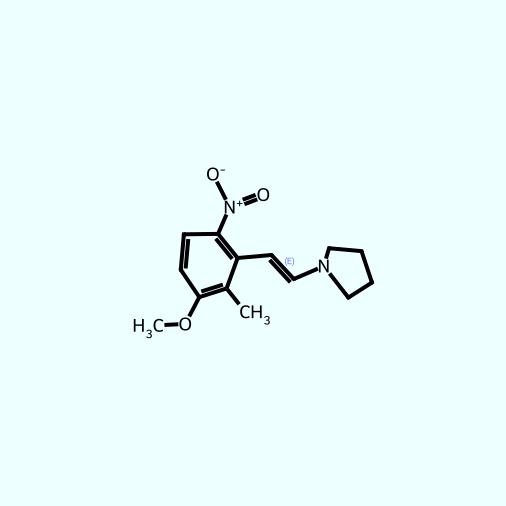 COc1ccc([N+](=O)[O-])c(/C=C/N2CCCC2)c1C